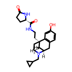 C[C@H]1[C@H]2Cc3ccc(O)cc3[C@]1(CCNC(=O)[C@@H]1CCC(=O)N1)CCN2CC1CC1